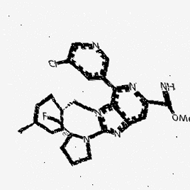 COC(=N)c1cc2nc(N3CCC[C@H]3CF)n(C[C@H]3CC[C@H](C)CC3)c2c(-c2cncc(Cl)c2)n1